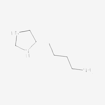 NCCCC[C@H]1CNCN1